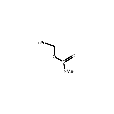 CCCCOS(=O)[N]C